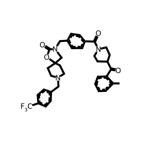 Cc1ccccc1C(=O)C1CCN(C(=O)c2ccc(CN3CC4(CCN(Cc5ccc(C(F)(F)F)cc5)CC4)OC3=O)cc2)CC1